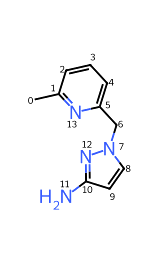 Cc1cccc(Cn2ccc(N)n2)n1